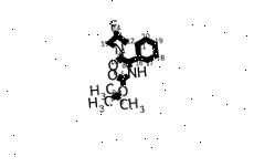 CC(C)(C)OC(=O)NC(C(=O)N1CC(F)C1)C1CCCCC1